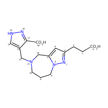 O=C(O)CCc1cc2n(n1)CCCN(Cc1c[nH]nc1C(=O)O)C2